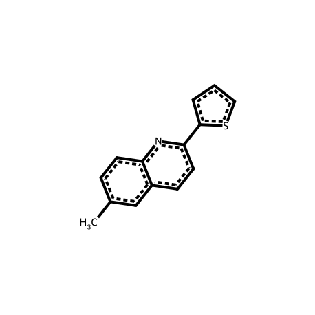 Cc1ccc2nc(-c3cccs3)ccc2c1